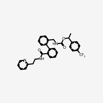 CC(OC(=O)NCc1ccccc1-c1ccccc1C(=O)NCCc1ccccn1)c1ccc(C(F)(F)F)cc1